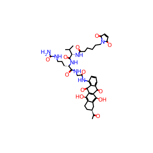 CC(=O)[C@H]1CCc2c(O)c3c(c(O)c2C1)C(=O)c1cccc(NC(=O)CNC(=O)[C@H](CCCNC(N)=O)NC(=O)[C@@H](NC(=O)CCCCCN2C(=O)C=CC2=O)C(C)C)c1C3=O